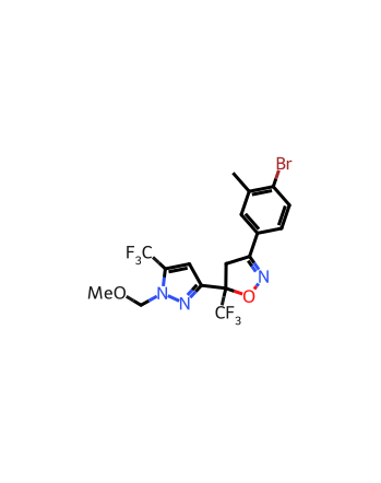 COCn1nc(C2(C(F)(F)F)CC(c3ccc(Br)c(C)c3)=NO2)cc1C(F)(F)F